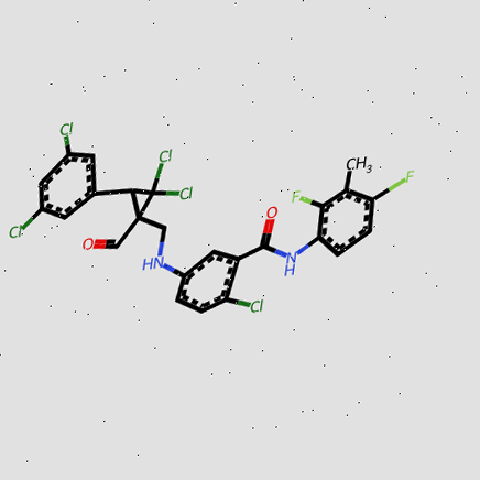 Cc1c(F)ccc(NC(=O)c2cc(NCC3(C=O)C(c4cc(Cl)cc(Cl)c4)C3(Cl)Cl)ccc2Cl)c1F